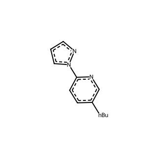 CCCCc1ccc(-n2cccn2)nc1